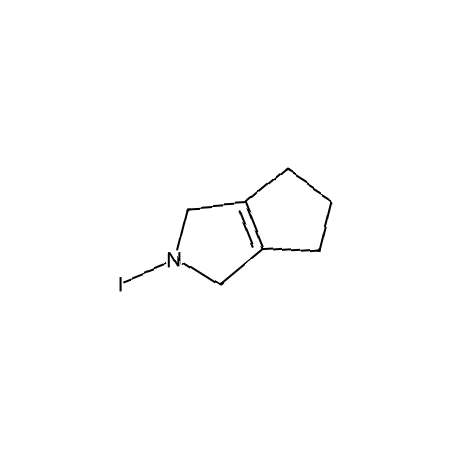 IN1CC2=C(CCC2)C1